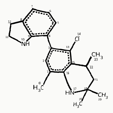 Cc1cc(-c2cccc3c2NCC3)c(Cl)c2c1NC(C)(C)CC2C